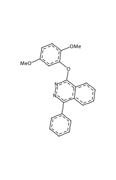 COc1ccc(OC)c(Oc2nnc(-c3ccccc3)c3ccccc23)c1